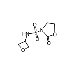 O=C1OCCN1S(=O)(=O)NC1COC1